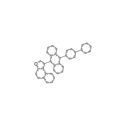 c1ccc(-c2ccc(-c3c4ccccc4c(-c4coc5ccc6ccccc6c45)c4ccccc34)cc2)cc1